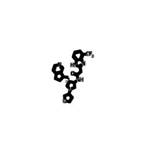 O=C(Cc1nc2c(C(F)(F)F)cccc2[nH]1)NC1CN(C2CCOC2)C[C@@H]1CC1CCc2ccncc21